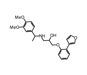 COc1ccc(C(C)NCC(O)COc2ccccc2-c2ccoc2)cc1OC